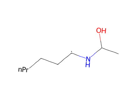 CCCCC[CH]NC(C)O